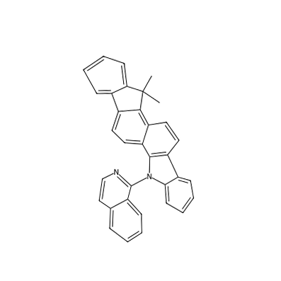 CC1(C)c2ccccc2-c2ccc3c(ccc4c5ccccc5n(-c5nccc6ccccc56)c34)c21